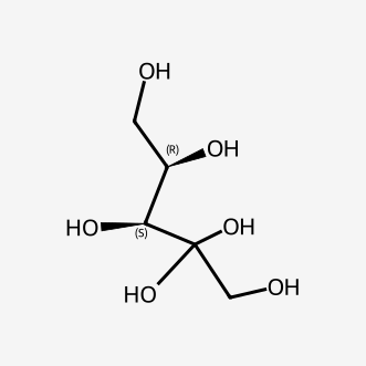 OC[C@@H](O)[C@H](O)C(O)(O)CO